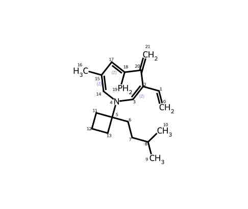 C=C/C1=C/N(C2(CCC(C)C)CCC2)/C=C(C)\C=C(/P)C1=C